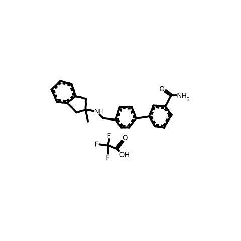 CC1(NCc2ccc(-c3cccc(C(N)=O)c3)cc2)Cc2ccccc2C1.O=C(O)C(F)(F)F